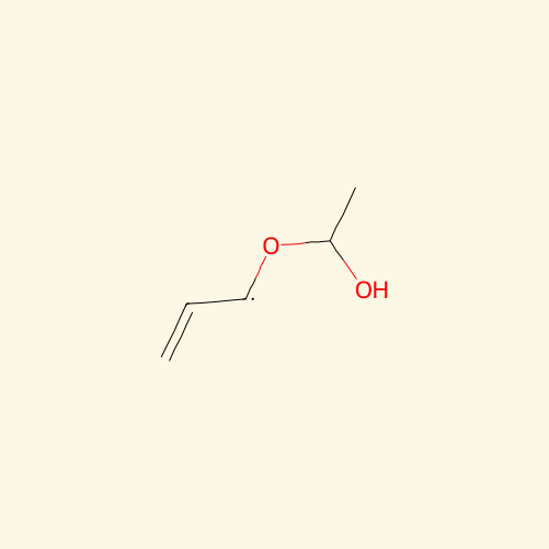 C=C[CH]OC(C)O